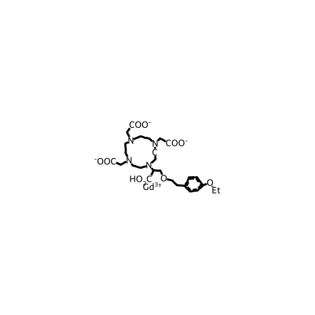 CCOc1ccc(CCOCC(C(=O)O)N2CCN(CC(=O)[O-])CCN(CC(=O)[O-])CCN(CC(=O)[O-])CC2)cc1.[Gd+3]